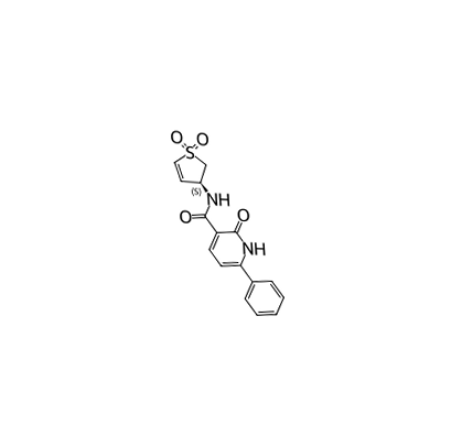 O=C(N[C@H]1C=CS(=O)(=O)C1)c1ccc(-c2ccccc2)[nH]c1=O